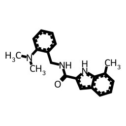 Cc1cccc2cc(C(=O)NCc3ccccc3N(C)C)[nH]c12